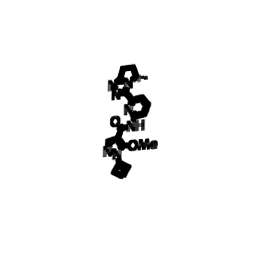 COc1c(C(=O)Nc2cccc(-c3nnc4n3[C@@H](C)CC4)n2)cnn1C12CC(C1)C2